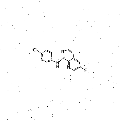 Fc1cnc2c(Nc3ccc(Cl)nc3)nccc2c1